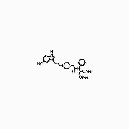 COCC(OC)N(C(=O)CN1CCN(CCCc2c[nH]c3ccc(C#N)cc23)CC1)c1ccccc1